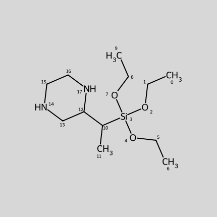 CCO[Si](OCC)(OCC)C(C)C1CNCCN1